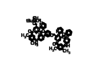 Cc1cc(C)c(C(=O)N2CCN(c3ccccn3)[C@H](CO)C2)cc1NC1CCN(c2ccccc2OC(F)(F)F)CC1.Cc1cc(C)c(C(=O)N2CCN(c3ccccn3)[C@H](CO[Si](C)(C)C(C)(C)C)C2)cc1NC1CCN(c2ccccc2OC(F)(F)F)CC1